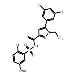 COc1ccc(Cl)c(S(=O)(=O)NC(=O)c2cc(-c3cc(Cl)cc(Cl)c3)n(CC(F)(F)F)n2)c1